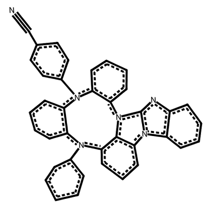 N#Cc1ccc(-n2c3ccccc3n(-c3ccccc3)c3cccc4c3n(c3ccccc32)c2nc3ccccc3n42)cc1